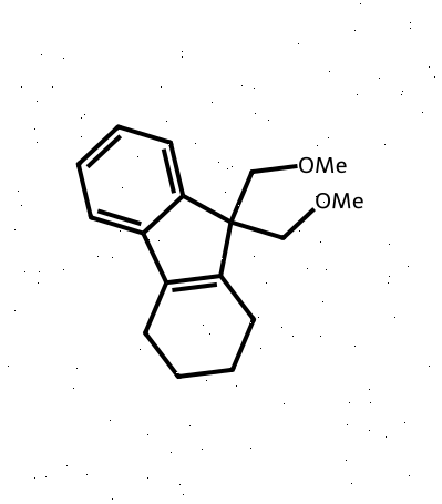 COCC1(COC)C2=C(CCCC2)c2ccccc21